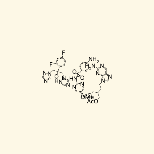 CC(=O)OCC(CCn1cnc2cnc(N)nc21)COC(C)=O.COc1cnc(NS(=O)(=O)c2ccc(N)cc2)nc1.OC(Cn1cncn1)(Cn1cncn1)c1ccc(F)cc1F